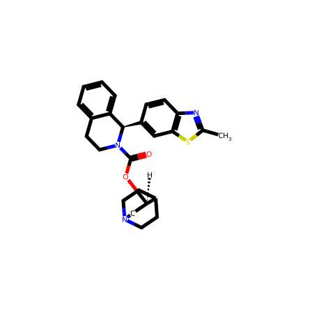 Cc1nc2ccc([C@@H]3c4ccccc4CCN3C(=O)O[C@@H]3CN4CCC3CC4)cc2s1